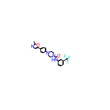 Cc1ncc(-c2ccc(N3CCN(C(=O)Nc4cccc(C(F)(F)F)c4)CC3)cc2)o1